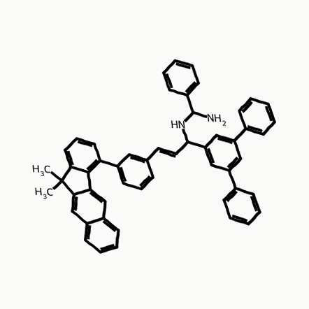 CC1(C)c2cc3ccccc3cc2-c2c(-c3cccc(/C=C/C(NC(N)c4ccccc4)c4cc(-c5ccccc5)cc(-c5ccccc5)c4)c3)cccc21